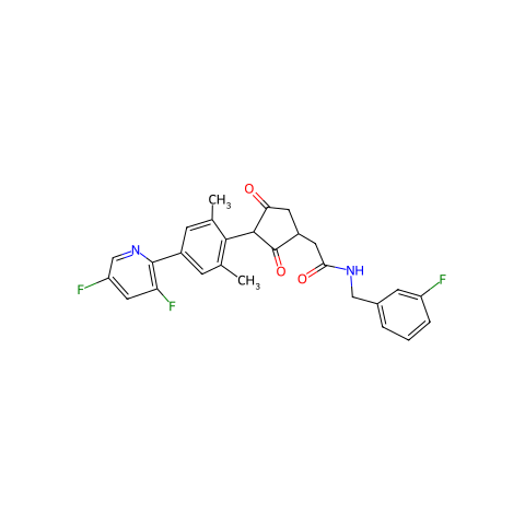 Cc1cc(-c2ncc(F)cc2F)cc(C)c1C1C(=O)CC(CC(=O)NCc2cccc(F)c2)C1=O